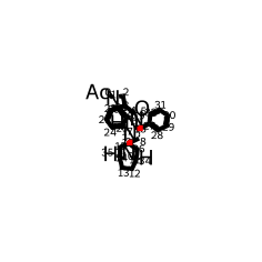 CC(=O)N1CC(C(=O)N[C@@H](CCN2[C@@H]3CC[C@H]2C[C@H](n2cnc4ccccc42)C3)c2ccccc2)C1